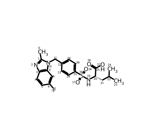 Cc1nc2ccc(F)cc2n1Cc1ccc(S(=O)(=O)N[C@@H](CC(C)C)C(=O)O)cc1